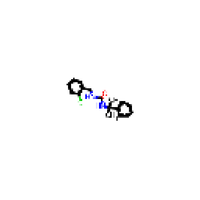 CC(C)(NC(=O)NCc1ccccc1Cl)c1ccccc1